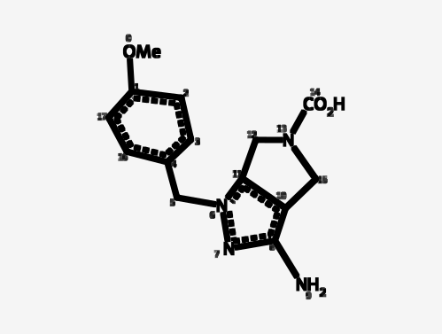 COc1ccc(Cn2nc(N)c3c2CN(C(=O)O)C3)cc1